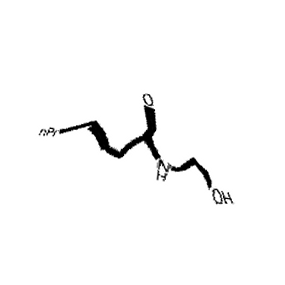 CCCC=CC(=O)NCO